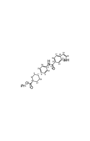 CC(C)OC(=O)[C@H]1CC[C@H](c2ccc(NC(=O)c3ccc4cc[nH]c4c3)cc2)CC1